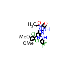 C=CC(=O)N[C@H]1COC[C@H]1Nc1ncc2cc(-c3c(Cl)c(OC)cc(OC)c3Cl)nc(NC3CCC(F)(F)C3)c2n1